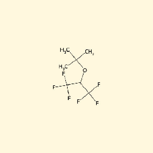 CC(C)(C)O[C](C(F)(F)F)C(F)(F)F